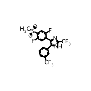 CS(=O)(=O)c1cc(F)c(-c2nc(C(F)(F)F)[nH]c2-c2cccc(C(F)(F)F)c2)cc1F